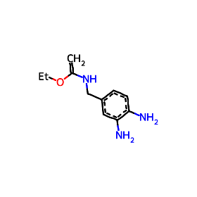 C=C(NCc1ccc(N)c(N)c1)OCC